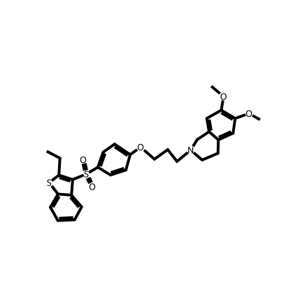 CCc1sc2ccccc2c1S(=O)(=O)c1ccc(OCCCN2CCc3cc(OC)c(OC)cc3C2)cc1